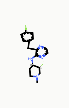 CN1CC[C@@H](Nc2nccnc2Cc2ccc(F)cc2)[C@H](F)C1